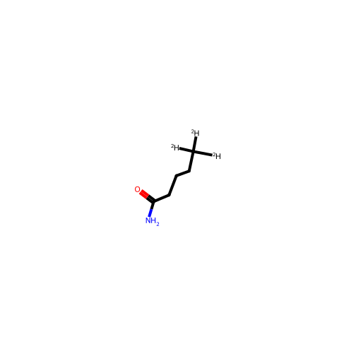 [2H]C([2H])([2H])CCCC(N)=O